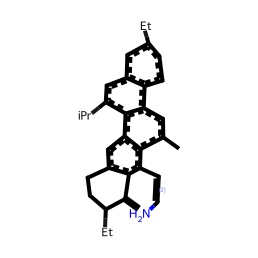 C=C1c2c(cc3c(c(C)cc4c5ccc(CC)cc5cc(C(C)C)c34)c2/C=C\N)CCC1CC